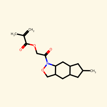 C=C(C)C(=O)OCC(=O)N1OCC2CC3CC(C)CC3CC21